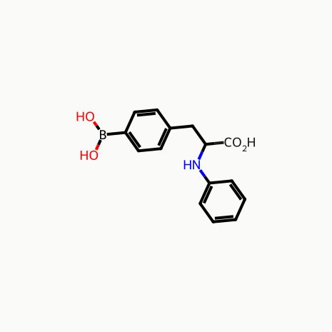 O=C(O)C(Cc1ccc(B(O)O)cc1)Nc1ccccc1